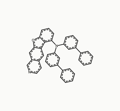 c1ccc(-c2cccc(N(c3cccc(-c4ccccc4)c3)c3cccc4oc5cc6cnccc6cc5c34)c2)cc1